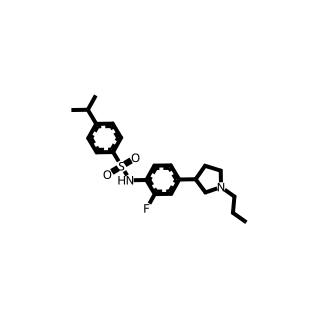 CCCN1CCC(c2ccc(NS(=O)(=O)c3ccc(C(C)C)cc3)c(F)c2)C1